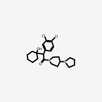 O=C(C(c1ccc(Cl)c(Cl)c1)C1(O)CCCCC1)N1CCC(N2CCCC2)CC1